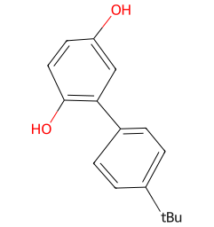 CC(C)(C)c1ccc(-c2cc(O)ccc2O)cc1